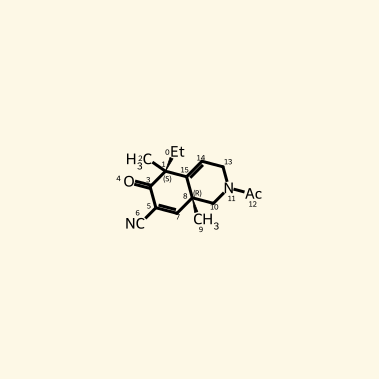 CC[C@]1(C)C(=O)C(C#N)=C[C@@]2(C)CN(C(C)=O)CC=C12